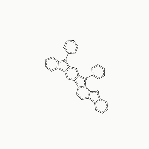 c1ccc(-n2c3ccccc3c3cc4c5ccc6c7ccccc7oc6c5n(-c5ccccc5)c4cc32)cc1